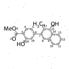 COC(=O)c1ccc(-c2cc3ccccc3c(O)c2C)cc1O